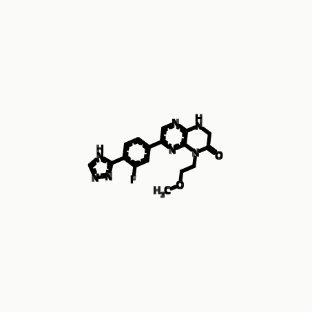 COCCN1C(=O)CNc2ncc(-c3ccc(-c4nnc[nH]4)c(F)c3)nc21